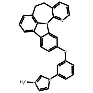 C[n+]1ccn(-c2cccc(Oc3ccc4c5cccc6c5n(c4c3)-c3ncccc3CC6)c2)c1